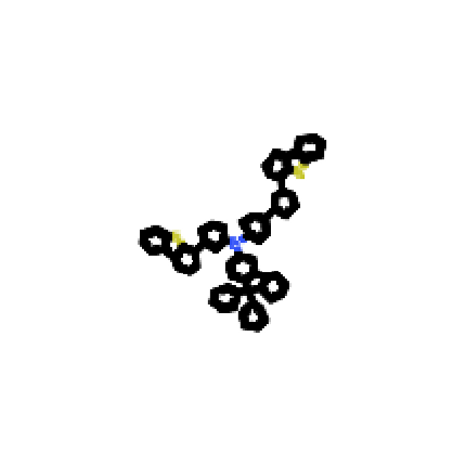 c1ccc(C2(c3ccccc3)c3ccccc3-c3cc(N(c4ccc(-c5cccc(-c6cccc7c6sc6ccccc67)c5)cc4)c4cccc(-c5cccc6c5sc5ccccc56)c4)ccc32)cc1